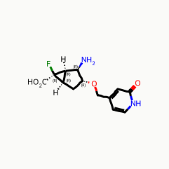 N[C@@H]1[C@H]2[C@@H](C[C@H]1OCc1cc[nH]c(=O)c1)[C@]2(F)C(=O)O